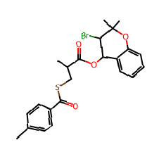 Cc1ccc(C(=O)SCC(C)C(=O)OC2c3ccccc3OC(C)(C)C2Br)cc1